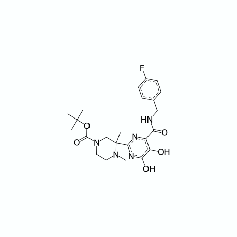 CN1CCN(C(=O)OC(C)(C)C)CC1(C)c1nc(O)c(O)c(C(=O)NCc2ccc(F)cc2)n1